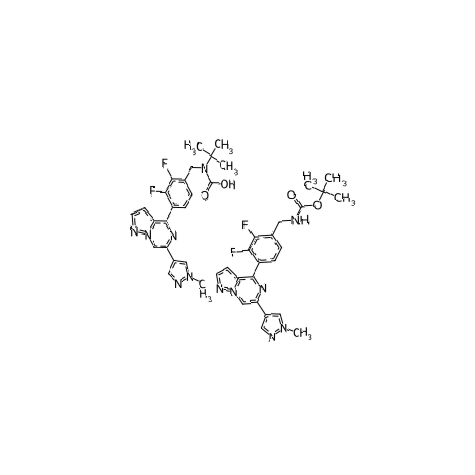 Cn1cc(-c2cn3nccc3c(-c3ccc(CN(C(=O)O)C(C)(C)C)c(F)c3F)n2)cn1.Cn1cc(-c2cn3nccc3c(-c3ccc(CNC(=O)OC(C)(C)C)c(F)c3F)n2)cn1